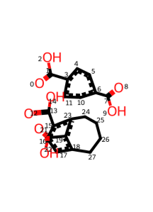 O=C(O)c1ccc(C(=O)O)cc1.O=C(O)c1ccc2c(C(=O)O)c1CCCC2